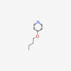 CCCCOc1ccncc1